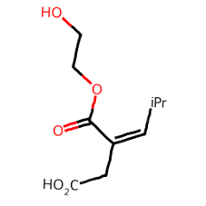 CC(C)C=C(CC(=O)O)C(=O)OCCO